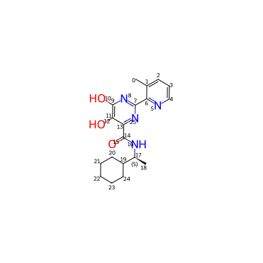 Cc1cccnc1-c1nc(O)c(O)c(C(=O)N[C@@H](C)C2CCCCC2)n1